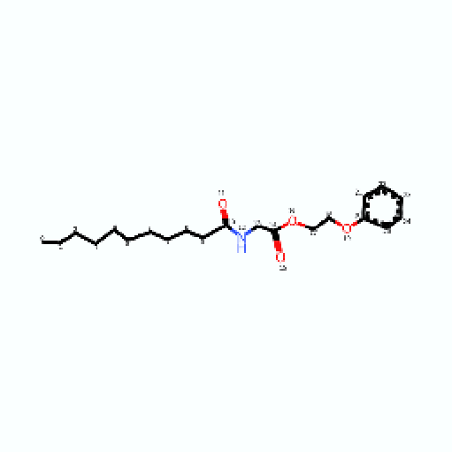 CCCCCCCCCCC(=O)NCC(=O)OCCOc1ccccc1